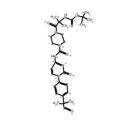 CC(C)(C)OC(=O)NC(C)(C)C(=O)N1CCN(C(=O)Nc2ccn(-c3ccc(C(C)(C)C=O)cc3)c(=O)n2)CC1